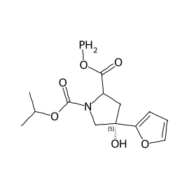 CC(C)OC(=O)N1C[C@](O)(c2ccco2)CC1C(=O)OP